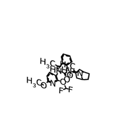 COc1ccc(NC(=O)N(c2ccccc2C(C)C)C2CC3CCC(C2)N3C(C)=O)c(OC(F)F)n1